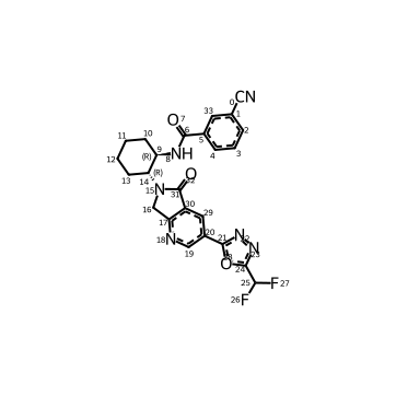 N#Cc1cccc(C(=O)N[C@@H]2CCCC[C@H]2N2Cc3ncc(-c4nnc(C(F)F)o4)cc3C2=O)c1